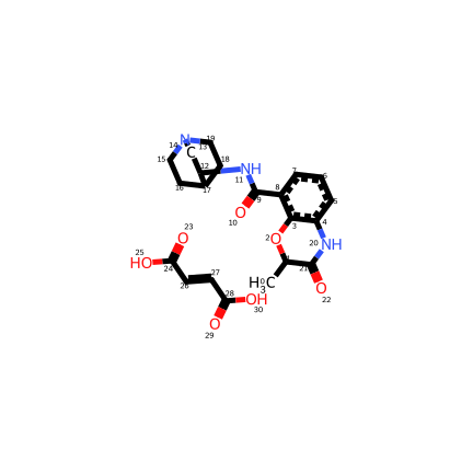 CC1Oc2c(cccc2C(=O)NC2CN3CCC2CC3)NC1=O.O=C(O)C=CC(=O)O